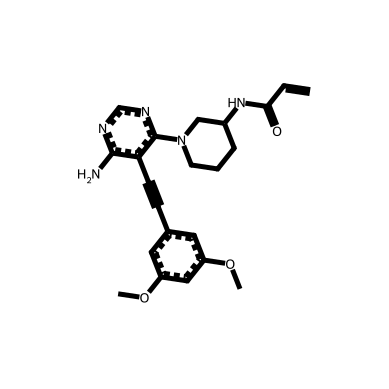 C=CC(=O)NC1CCCN(c2ncnc(N)c2C#Cc2cc(OC)cc(OC)c2)C1